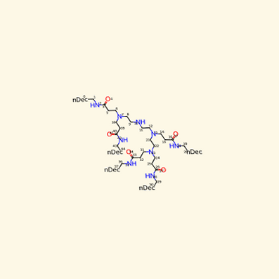 CCCCCCCCCCCNC(=O)CCN(CCNCCN(CCC(=O)NCCCCCCCCCCC)CCN(CCC(=O)NCCCCCCCCCCC)CCC(=O)NCCCCCCCCCCC)CCC(=O)NCCCCCCCCCCC